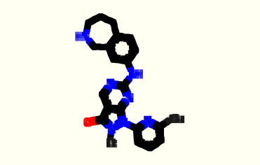 CCn1c(=O)c2cnc(Nc3ccc4c(c3)CNCCC4)nc2n1-c1cccc(C(C)(C)C)n1